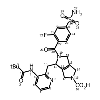 CC(C)(C)C(=O)Nc1cccnc1[CH]C1C2=C(CN(C(=O)O)C2)CN1C(=O)c1ccc(S(N)(=O)=O)cc1F